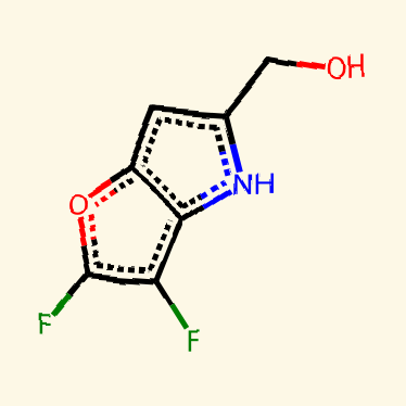 OCc1cc2oc(F)c(F)c2[nH]1